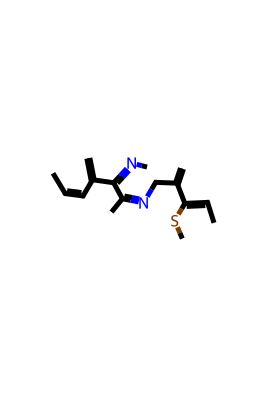 C=C(C/N=C(C)\C(=N/C)C(=C)/C=C\C)/C(=C/C)SC